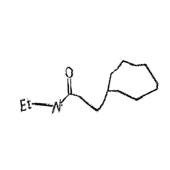 CC[N]C(=O)CC1CCCCC1